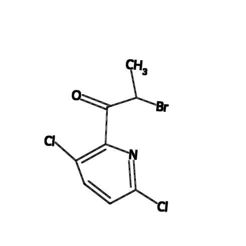 CC(Br)C(=O)c1nc(Cl)ccc1Cl